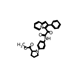 COC(=O)C1CCCN1c1ccc(NC(=O)C(=O)c2c(-c3ccccc3)cc3ccccn23)cc1